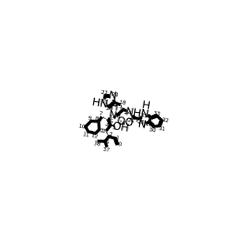 C=C[C@@H](C[C@H](O)[C@H](CC1CCCCC1)NC(=O)[C@H](Cc1c[nH]cn1)NC(=O)c1nc2ccccc2[nH]1)C(C)C